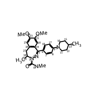 CNC(=O)N1N=C(c2ccc(N3CCC(C)CC3)cc2)c2cc(OC)c(OC)cc2CC1C